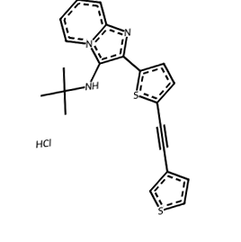 CC(C)(C)Nc1c(-c2ccc(C#Cc3ccsc3)s2)nc2ccccn12.Cl